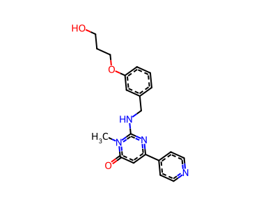 Cn1c(NCc2cccc(OCCCO)c2)nc(-c2ccncc2)cc1=O